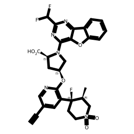 C#Cc1cnc(O[C@H]2C[C@@H](C(=O)O)N(c3nc(C(F)F)nc4c3oc3ccccc34)C2)c([C@@]2(F)CCS(=O)(=O)C[C@@H]2C)c1